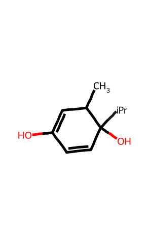 CC(C)C1(O)C=CC(O)=CC1C